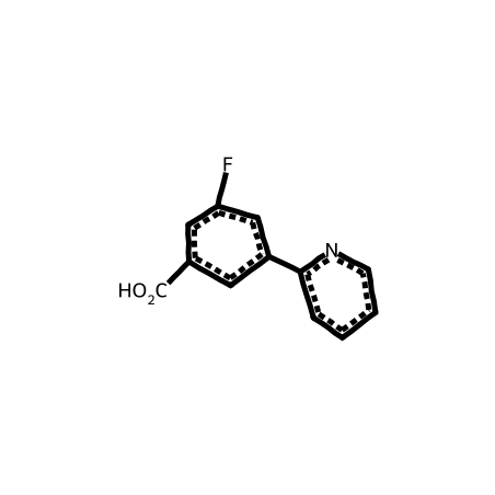 O=C(O)c1cc(F)cc(-c2ccccn2)c1